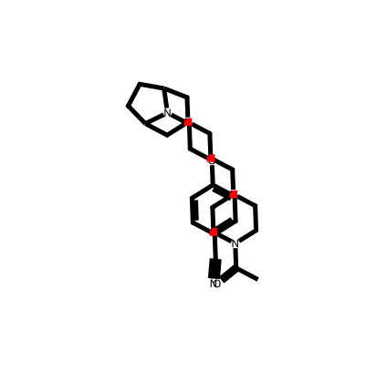 CC(=O)N1CCN(CCCN2CC3CCC(C2)N3CCOc2ccc(C#N)cc2)CC1